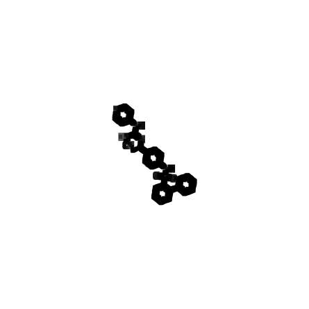 C[C@@H](/N=C(\NC#N)Nc1ccncc1)c1ccc(NS(=O)(=O)c2ccccc2-c2ccccc2)cc1